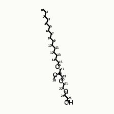 CCCCCCCCCCCCCCCCOCC(COCCOCCO)OC